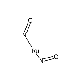 O=[N][Ru][N]=O